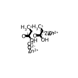 CCC(=O)O.CCC(=O)O.[O-2].[O-2].[Zn+2].[Zn+2].[Zn+2]